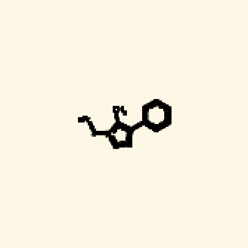 CCCSn1cnc(-c2ccccc2)c1C